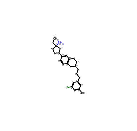 Bc1cc(F)cc(CCC[C@@H]2CCc3cc([C@H]4CC[C@](N)(CC)C4)ccc3C2)c1